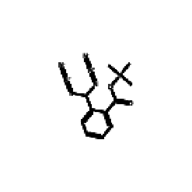 C[Si](C)(C)OC(=O)c1ccccc1C(N=[N+]=[N-])N=[N+]=[N-]